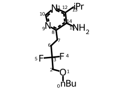 CCCCOCC(F)(F)CCc1ncnc(C(C)C)c1N